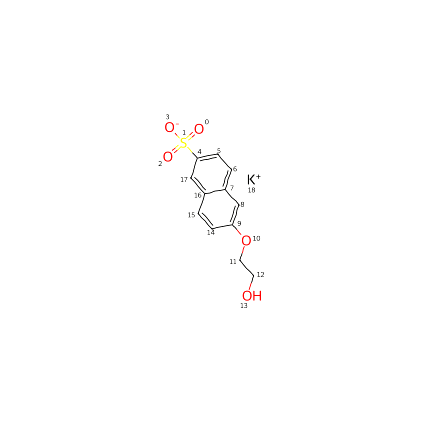 O=S(=O)([O-])c1ccc2cc(OCCO)ccc2c1.[K+]